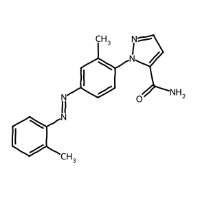 Cc1ccccc1N=Nc1ccc(-n2nccc2C(N)=O)c(C)c1